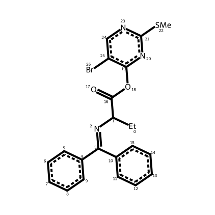 CCC(N=C(c1ccccc1)c1ccccc1)C(=O)Oc1nc(SC)ncc1Br